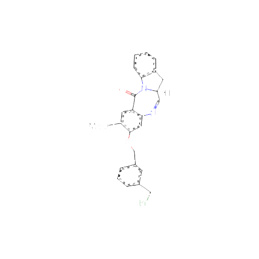 COc1cc2c(cc1OCc1cccc(CBr)c1)N=C[C@@H]1Cc3ccccc3N1C2=O